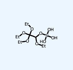 CCOC(O[Si](O)(O)O)C(OCC)(OCC)OCC